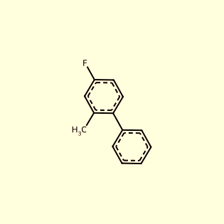 Cc1cc(F)ccc1-c1ccccc1